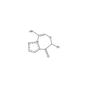 CCCC1=COC(CC)C(=O)c2cccn21